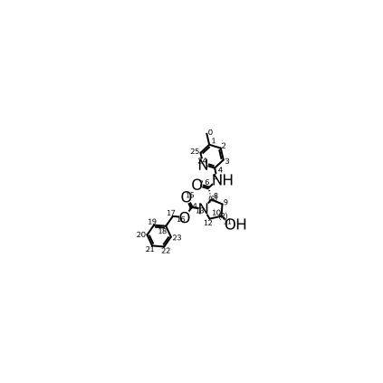 Cc1ccc(NC(=O)[C@@H]2C[C@@H](O)CN2C(=O)OCc2ccccc2)nc1